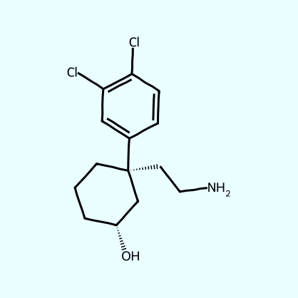 NCC[C@@]1(c2ccc(Cl)c(Cl)c2)CCC[C@@H](O)C1